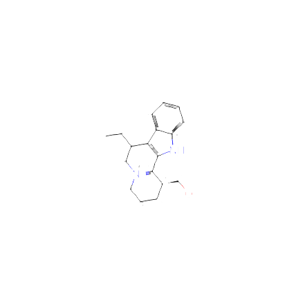 CCC1C[N+]2=C(c3[nH]c4ccccc4c31)[C@@H](CO)CCC2